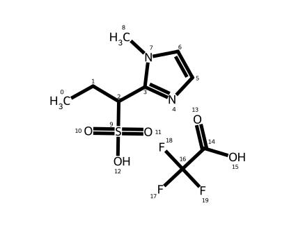 CCC(c1nccn1C)S(=O)(=O)O.O=C(O)C(F)(F)F